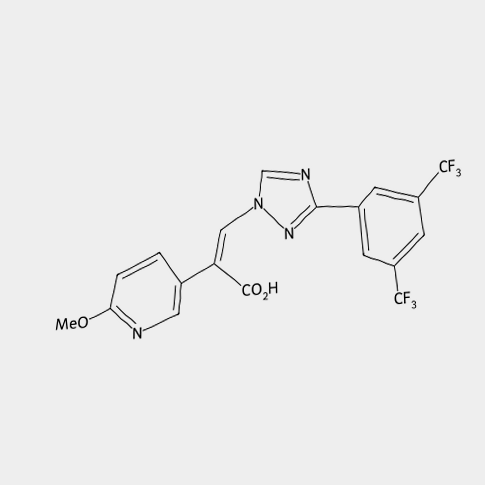 COc1ccc(C(=Cn2cnc(-c3cc(C(F)(F)F)cc(C(F)(F)F)c3)n2)C(=O)O)cn1